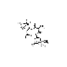 CC(C(=O)OC(CC(=O)[O-])C[N+](C)(C)C)C(=O)OC(CC(=O)[O-])C[N+](C)(C)C